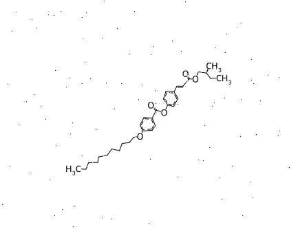 CCCCCCCCCCCOc1ccc(C(=O)Oc2ccc(C=CC(=O)OC[C@@H](C)CC)cc2)cc1